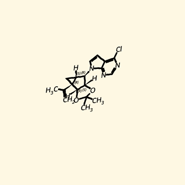 C=C(C)[C@@]12C[C@@H]1[C@@H](n1ccc3c(Cl)ncnc31)[C@@H]1OC(C)(C)O[C@@H]12